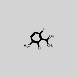 Cc1ccc(F)c(C(C)O)c1Cl